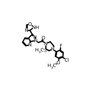 COc1cc(N2CCN(C(=O)Cn3nc(C4N=CON4)c4cccnc43)[C@@H](C)C2)c(F)cc1Cl